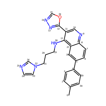 Cc1ccc(-c2ccc3ncc(-c4nnco4)c(NCCCn4ccnc4)c3c2)cc1